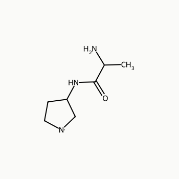 CC(N)C(=O)NC1CC[N]C1